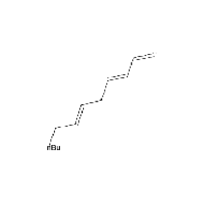 [CH]=C/C=C/C/C=C/CCCCC